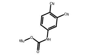 CC(C)(C)OC(=O)Nc1ccc(C#N)c(C#N)c1